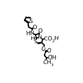 CC(O)CC(=O)OCC1=CS[C@@H]2C(NC(=O)Cc3cccs3)C(=O)N2C1C(=O)O